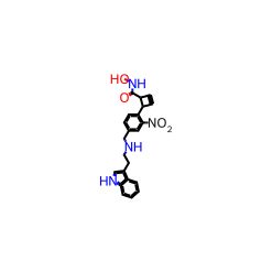 O=C(NO)C1C#CC1c1ccc(CNCCc2c[nH]c3ccccc23)cc1[N+](=O)[O-]